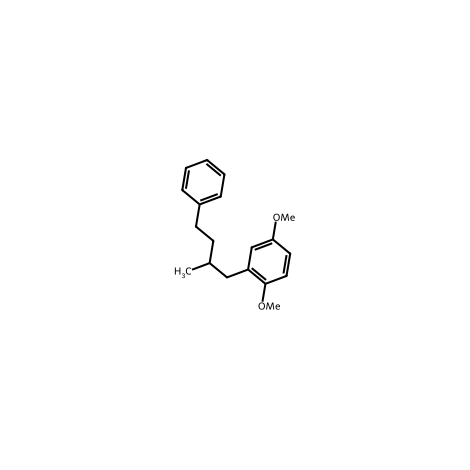 COc1ccc(OC)c(CC(C)CCc2ccccc2)c1